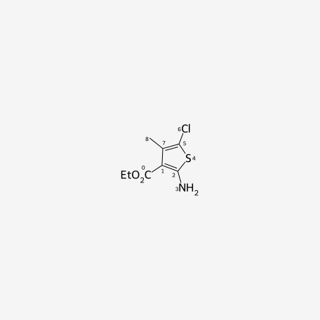 CCOC(=O)c1c(N)sc(Cl)c1C